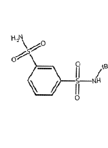 CC(C)(C)NS(=O)(=O)c1cccc(S(N)(=O)=O)c1